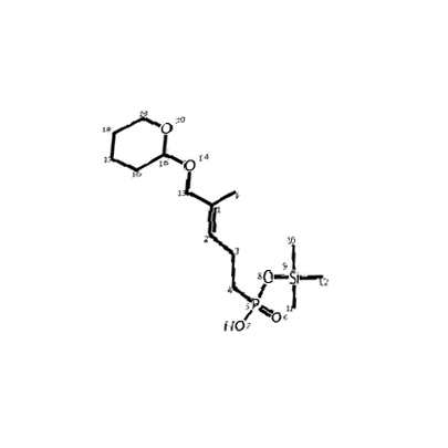 C/C(=C\CCP(=O)(O)O[Si](C)(C)C)COC1CCCCO1